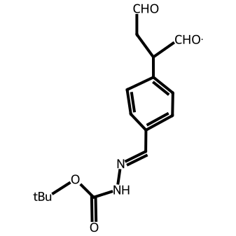 CC(C)(C)OC(=O)NN=Cc1ccc(C([C]=O)CC=O)cc1